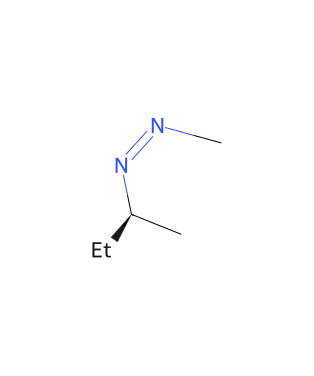 CC[C@H](C)/N=N\C